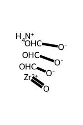 O=C[O-].O=C[O-].O=C[O-].[NH4+].[O]=[Zr+2]